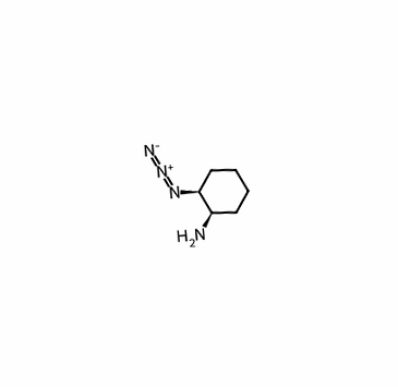 [N-]=[N+]=N[C@H]1CCCC[C@H]1N